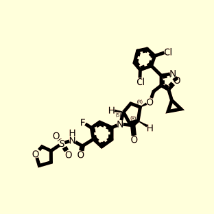 O=C(NS(=O)(=O)C1CCOC1)c1ccc(N2C(=O)[C@@H]3C[C@H]2C[C@H]3OCc2c(-c3c(Cl)cccc3Cl)noc2C2CC2)cc1F